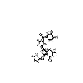 CC1(C)CC(=O)c2c(SC3CCCC3)sc(-c3ccn(C(=O)c4ccc(F)c(F)c4)n3)c2C1